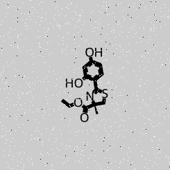 CCOC(=O)[C@@]1(C)CSC(c2ccc(O)cc2O)=N1